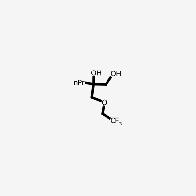 CCCC(O)(CO)COCC(F)(F)F